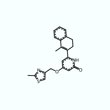 CC1=C(c2cc(OCc3csc(C)n3)cc(=O)[nH]2)CCc2ccccc21